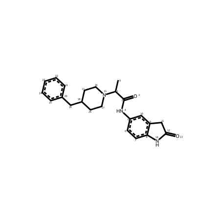 CC(C(=O)Nc1ccc2c(c1)CC(=O)N2)N1CCC(Cc2ccccc2)CC1